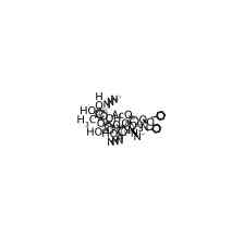 CC(=O)O[C@@H]1CC[C@@H](CN(Cc2ccccc2)C(=O)OCc2ccccc2)O[C@@H]1O[C@H]1[C@H](O[C@@H]2O[C@H](CO)[C@@H](O[C@H]3O[C@@H](CN=[N+]=[N-])[C@@H](O)[C@H](O)[C@H]3C)[C@H]2O)[C@@H](O)[C@H](N=[N+]=[N-])C[C@@H]1N=[N+]=[N-]